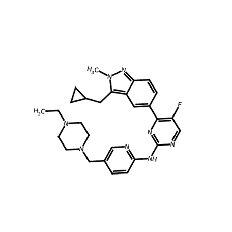 CCN1CCN(Cc2ccc(Nc3ncc(F)c(-c4ccc5nn(C)c(CC6CC6)c5c4)n3)nc2)CC1